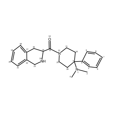 CN(C)C1(c2ccccc2)CCN(C(=O)C2Cc3ccccc3CN2)CC1